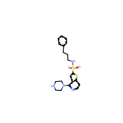 O=S(=O)(NCCCc1ccccc1)c1cc2c(N3CCNCC3)nccc2s1